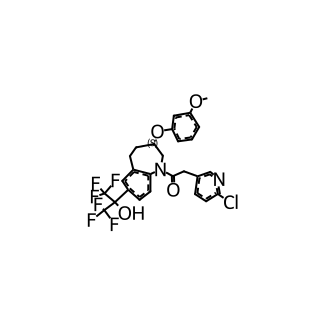 COc1cccc(O[C@H]2CCc3cc(C(O)(C(F)(F)F)C(F)(F)F)ccc3N(C(=O)Cc3ccc(Cl)nc3)C2)c1